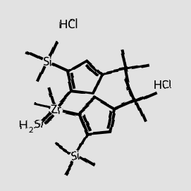 CC(C)(C)C1=CC([Si](C)(C)C)=[C]([Zr]([CH3])([CH3])(=[SiH2])[C]2=C([Si](C)(C)C)C=C(C(C)(C)C)C2)C1.Cl.Cl